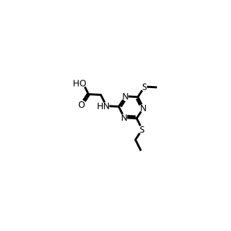 CCSc1nc(NCC(=O)O)nc(SC)n1